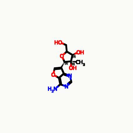 C[C@@]1(O)[C@H](O)C(CO)O[C@H]1c1coc2c(N)ncnc12